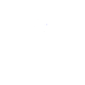 O=C(O)C(C(=O)Nc1ccccc1)=C1Sc2ccccc2S1